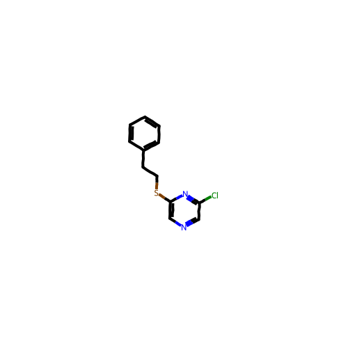 Clc1cncc(SCCc2ccccc2)n1